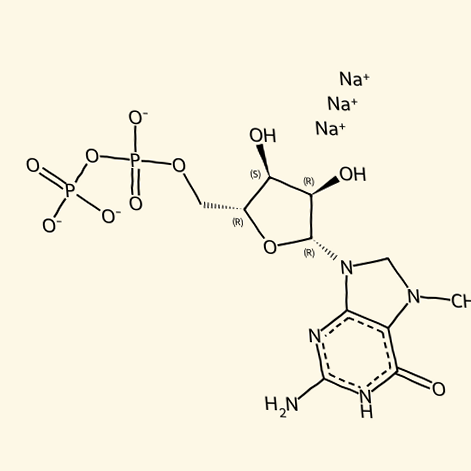 CN1CN([C@@H]2O[C@H](COP(=O)([O-])OP(=O)([O-])[O-])[C@@H](O)[C@H]2O)c2nc(N)[nH]c(=O)c21.[Na+].[Na+].[Na+]